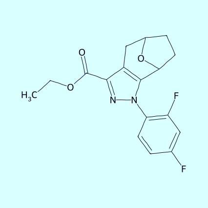 CCOC(=O)c1nn(-c2ccc(F)cc2F)c2c1CC1CCC2O1